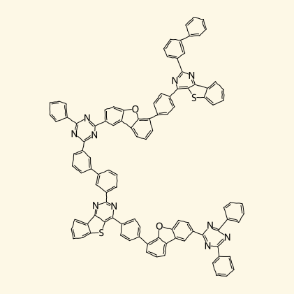 c1ccc(-c2cccc(-c3nc(-c4ccc(-c5cccc6c5oc5ccc(-c7nc(-c8ccccc8)nc(-c8cccc(-c9cccc(-c%10nc(-c%11ccc(-c%12cccc%13c%12oc%12ccc(-c%14nc(-c%15ccccc%15)nc(-c%15ccccc%15)n%14)cc%12%13)cc%11)c%11sc%12ccccc%12c%11n%10)c9)c8)n7)cc56)cc4)c4sc5ccccc5c4n3)c2)cc1